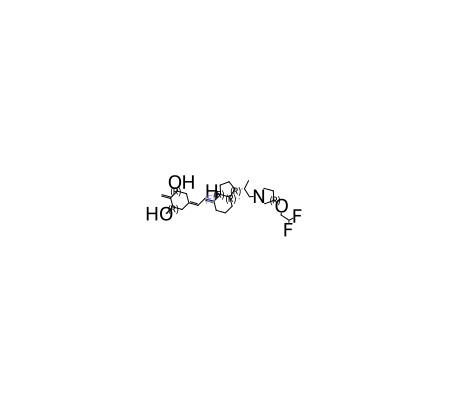 C=C1[C@H](O)CC(=C/C=C2\CCC[C@]3(C)[C@@H](C(C)CN4CC[C@@H](OCC(F)F)C4)CC[C@@H]23)C[C@H]1O